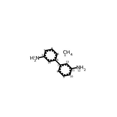 C.Nc1cccc(-c2cccc(N)c2)c1